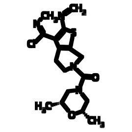 C=Nc1sc2c(c1/C(Cl)=N\C)CCN(C(=O)N1C[C@@H](C)O[C@@H](C)C1)C2